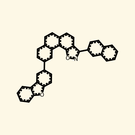 c1ccc2cc(-c3noc4c3ccc3ccc5ccc(-c6ccc7oc8ccccc8c7c6)cc5c34)ccc2c1